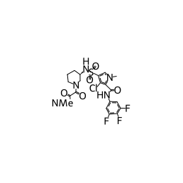 CNC(=O)C(=O)N1CCC[C@@H](NS(=O)(=O)c2cn(C)c(C(=O)Nc3cc(F)c(F)c(F)c3)c2Cl)C1